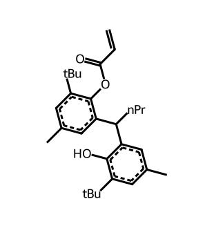 C=CC(=O)Oc1c(C(CCC)c2cc(C)cc(C(C)(C)C)c2O)cc(C)cc1C(C)(C)C